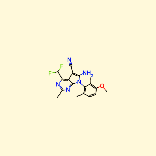 COc1ccc(C)c(-n2c(N)c(C#N)c3c(C(F)F)nc(C)nc32)c1C